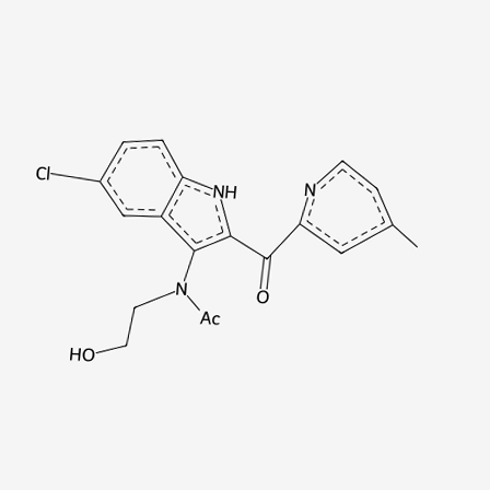 CC(=O)N(CCO)c1c(C(=O)c2cc(C)ccn2)[nH]c2ccc(Cl)cc12